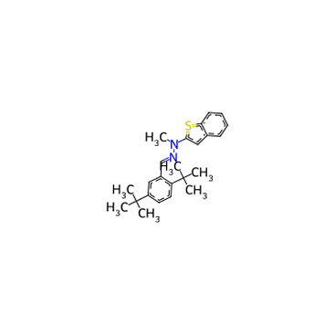 CN(/N=C/c1cc(C(C)(C)C)ccc1C(C)(C)C)c1cc2ccccc2s1